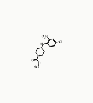 CC(C)(C)OC(=O)N1CCC(Nc2ccc(Cl)cc2[N+](=O)[O-])CC1